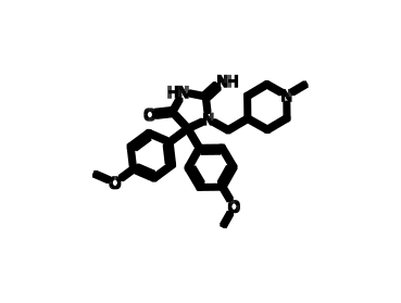 COc1ccc(C2(c3ccc(OC)cc3)C(=O)NC(=N)N2CC2CCN(C)CC2)cc1